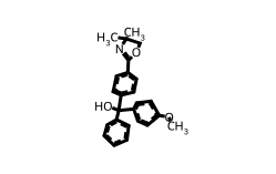 COc1ccc(C(O)(c2ccccc2)c2ccc(C3=NC(C)(C)CO3)cc2)cc1